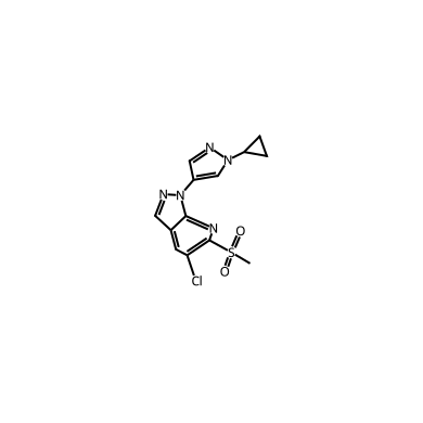 CS(=O)(=O)c1nc2c(cnn2-c2cnn(C3CC3)c2)cc1Cl